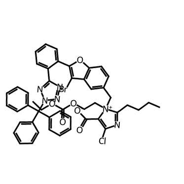 CCCCC1=NC(Cl)=C(C(=O)[O-])[N+]1(CCOC(=O)OCC)Cc1ccc2oc(-c3ccccc3-c3nnn(C(c4ccccc4)(c4ccccc4)c4ccccc4)n3)c(Br)c2c1